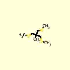 CSCC(C)(CSC)CSC